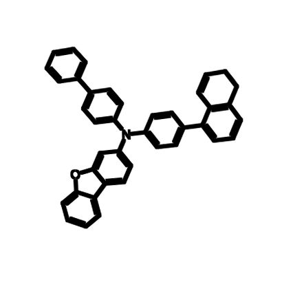 C1=Cc2c(cccc2-c2ccc(N(c3ccc(-c4ccccc4)cc3)c3ccc4c(c3)oc3ccccc34)cc2)CC1